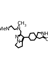 CNCCN(C)Cc1nn2c(c1C1CCC3(CC1)CNC(=O)C3)CCC2